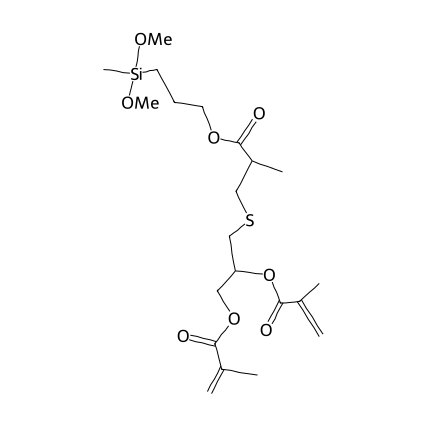 C=C(C)C(=O)OCC(CSCC(C)C(=O)OCCC[Si](C)(OC)OC)OC(=O)C(=C)C